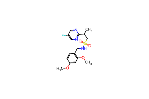 COc1ccc(CNS(=O)(=O)CC(C)c2ncc(F)cn2)c(OC)c1